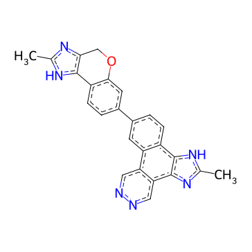 Cc1nc2c([nH]1)-c1ccc(-c3ccc4c(c3)c3cnncc3c3nc(C)[nH]c43)cc1OC2